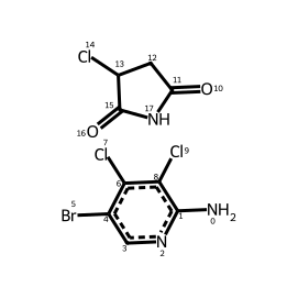 Nc1ncc(Br)c(Cl)c1Cl.O=C1CC(Cl)C(=O)N1